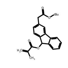 C=C(C)C(=O)OC1c2ccccc2-c2cc(CC(=O)OC(C)(C)C)ccc21